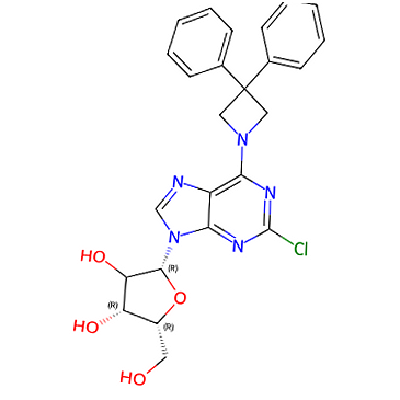 OC[C@H]1O[C@@H](n2cnc3c(N4CC(c5ccccc5)(c5ccccc5)C4)nc(Cl)nc32)C(O)[C@H]1O